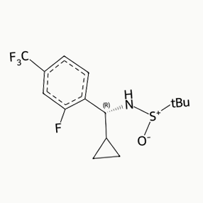 CC(C)(C)[S+]([O-])N[C@@H](c1ccc(C(F)(F)F)cc1F)C1CC1